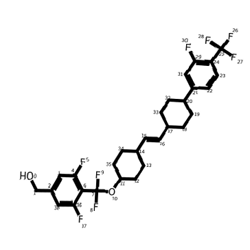 OCc1cc(F)c(C(F)(F)OC2CCC(/C=C/C3CCC(c4ccc(C(F)(F)F)c(F)c4)CC3)CC2)c(F)c1